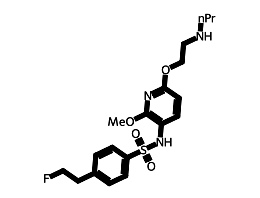 CCCNCCOc1ccc(NS(=O)(=O)c2ccc(CCF)cc2)c(OC)n1